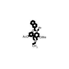 C=CCN1CCC2(c3cccc(OC(C)=O)c3)CC(N(CC(C)C)C(=O)c3ccc4ccccc4c3)CC(OC)C2C1